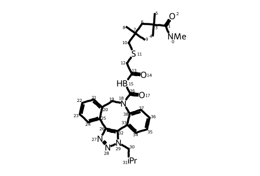 CNC(=O)C(C)(C)CC(C)(C)CSCC(=O)BC(=O)N1Cc2ccccc2-c2nnn(CC(C)C)c2-c2ccccc21